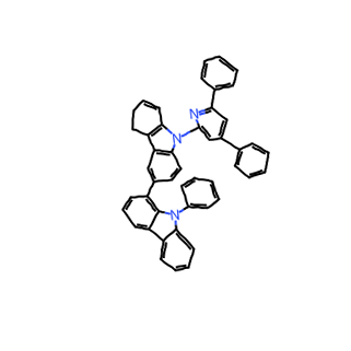 C1=Cc2c(c3cc(-c4cccc5c6ccccc6n(-c6ccccc6)c45)ccc3n2-c2cc(-c3ccccc3)cc(-c3ccccc3)n2)CC1